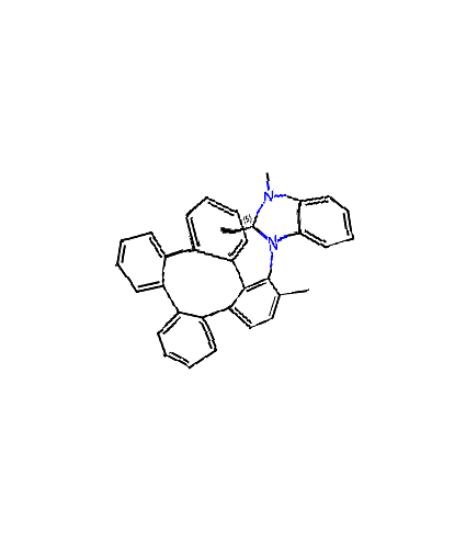 Cc1ccc2c(c1N1c3ccccc3N(C)[C@@H]1C)-c1ccccc1-c1ccccc1-c1ccccc1-2